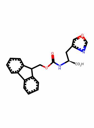 O=C(N[C@@H](Cc1cocn1)C(=O)O)OCC1c2ccccc2-c2ccccc21